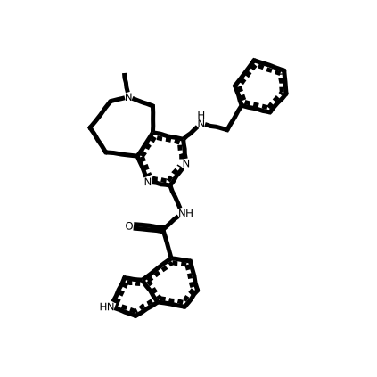 CN1CCCc2nc(NC(=O)c3cccc4c[nH]cc34)nc(NCc3ccccc3)c2C1